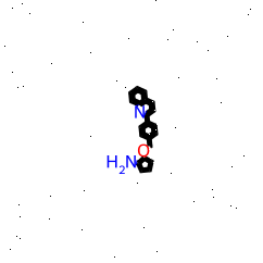 NC1CCCC1OCc1ccc(-c2ccc3ccccc3n2)cc1